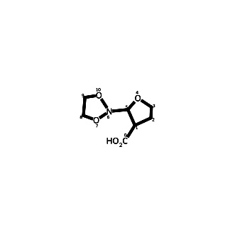 O=C(O)C1CCOC1N1OCCO1